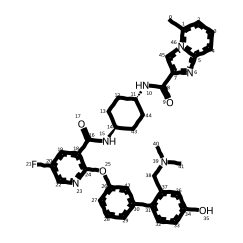 Cc1cccc2nc(C(=O)N[C@H]3CC[C@H](NC(=O)c4cc(F)cnc4Oc4cccc(-c5ccc(O)cc5CN(C)C)c4)CC3)cn12